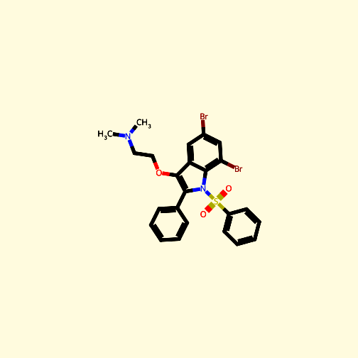 CN(C)CCOc1c(-c2ccccc2)n(S(=O)(=O)c2ccccc2)c2c(Br)cc(Br)cc12